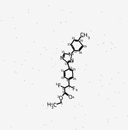 CCOC(=O)C(F)C(F)c1ccc(-c2ncn(-c3ccc(C)cc3)n2)cc1